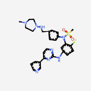 CN1CCN(NCc2ccc(N(c3cc(Nc4nccc(-c5cccnc5)n4)ccc3F)S(C)(=O)=O)cc2)CC1